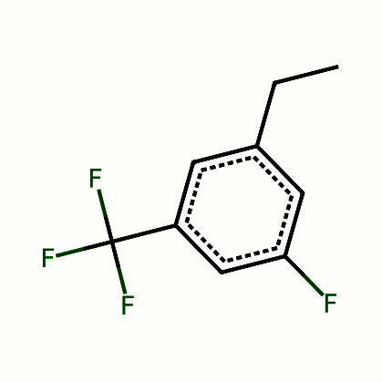 CCc1cc(F)cc(C(F)(F)F)c1